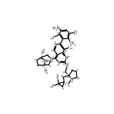 Nc1cc(Cl)c(C(F)(F)F)c(-c2ncc3c(N4C[C@H]5CC[C@@H](C4)N5)nc(OC[C@@]45CCCN4C[C@@]4(CC4(F)F)C5)nc3c2F)c1F